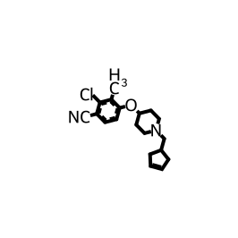 Cc1c(OC2CCN(CC3CC=CC3)CC2)ccc(C#N)c1Cl